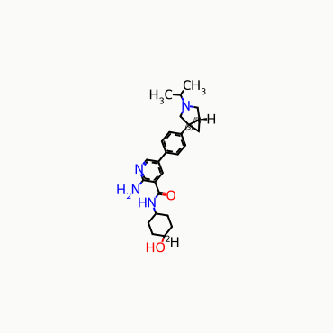 [2H]C1(O)CCC(NC(=O)c2cc(-c3ccc([C@]45C[C@H]4CN(C(C)C)C5)cc3)cnc2N)CC1